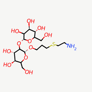 NCCSCCCO[C@@H]1OC(CO)[C@@H](O)[C@H](O)C1O[C@H]1OC(CO)[C@@H](O)[C@H](O)C1O